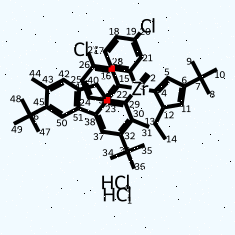 Cl.Cl.[CH2]=[Zr]([C]1=CC(C(C)(C)C)=CC1CC)([c]1cccc(Cl)c1)([c]1cccc(Cl)c1)[c]1c(C)c(C(C)(C)C)cc2c1Cc1cc(C)c(C(C)(C)C)cc1-2